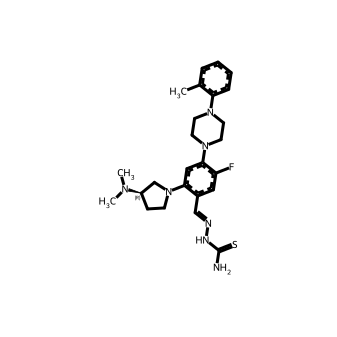 Cc1ccccc1N1CCN(c2cc(N3CC[C@@H](N(C)C)C3)c(C=NNC(N)=S)cc2F)CC1